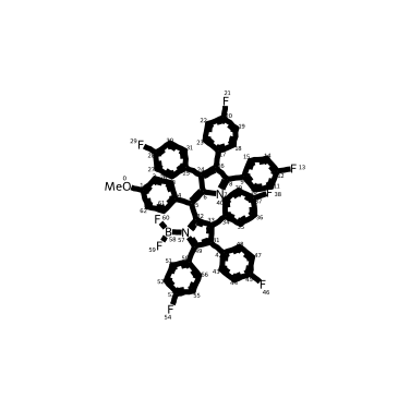 COc1ccc(/C(=C2/N=C(c3ccc(F)cc3)C(c3ccc(F)cc3)=C2c2ccc(F)cc2)c2c(-c3ccc(F)cc3)c(-c3ccc(F)cc3)c(-c3ccc(F)cc3)n2B(F)F)cc1